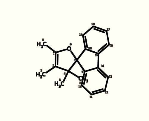 CC1=C(C)C(C)(C)C2(O1)c1ccccc1-c1ccccc12